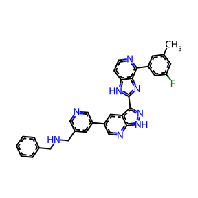 Cc1cc(F)cc(-c2nccc3[nH]c(-c4n[nH]c5ncc(-c6cncc(CNCc7ccccc7)c6)cc45)nc23)c1